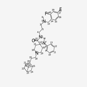 CN(CCCN1CN(c2ccccc2)C2(CCN(CCC3CCC4CC3C4(C)C)CC2)C1=O)Cc1ccc(F)cc1F